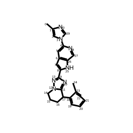 Cc1cn(-c2cc3cc(-c4nc5n(n4)CCCC5c4ccccc4C)[nH]c3cn2)cn1